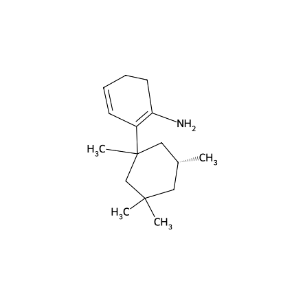 C[C@@H]1CC(C)(C)CC(C)(C2=C(N)CCC=C2)C1